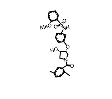 COc1ccccc1S(=O)(=O)Nc1cccc(O[C@@H]2CN(C(=O)c3cc(C)ccc3C)C[C@H]2O)c1